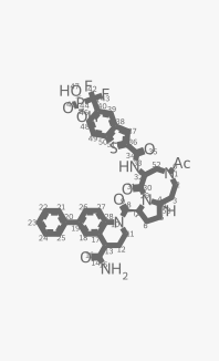 CC(=O)N1CC[C@H]2CC[C@@H](C(=O)N3CCC(C(N)=O)c4cc(-c5ccccc5)ccc43)N2C(=O)C(NC(=O)c2cc3cc(C(F)(F)P(=O)(O)O)ccc3s2)C1